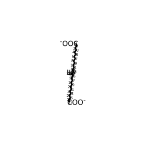 O=C([O-])CCCCCCCCCCCCSSCCCCCCCCCCCCC(=O)[O-].[Li+].[Li+]